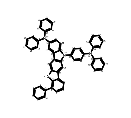 c1ccc(-c2cccc3c2sc2cc4c5cc(N(c6ccccc6)c6ccccc6)ccc5n(-c5ccc(N(c6ccccc6)c6ccccc6)cc5)c4cc23)cc1